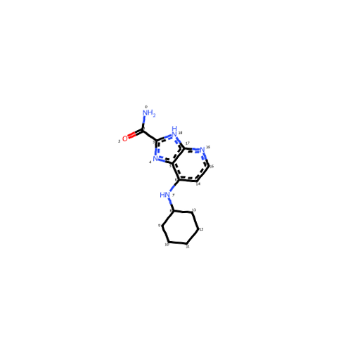 NC(=O)c1nc2c(NC3CCCCC3)ccnc2[nH]1